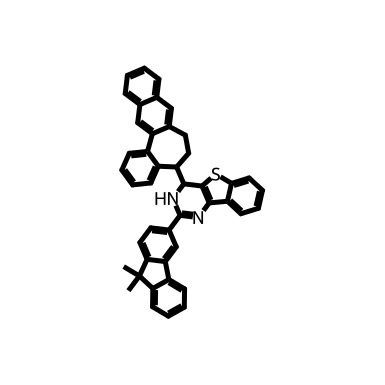 CC1(C)c2ccccc2-c2cc(C3=Nc4c(sc5ccccc45)C(C4CCc5cc6ccccc6cc5-c5ccccc54)N3)ccc21